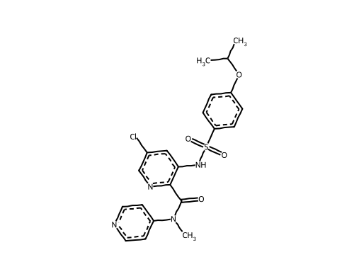 CC(C)Oc1ccc(S(=O)(=O)Nc2cc(Cl)cnc2C(=O)N(C)c2ccncc2)cc1